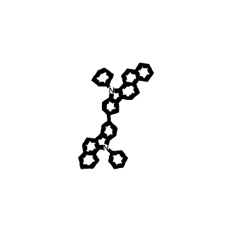 c1ccc(-n2c3ccc(-c4ccc5c(c4)c4ccc6c7ccccc7ccc6c4n5-c4ccccc4)cc3c3ccc4ccccc4c32)cc1